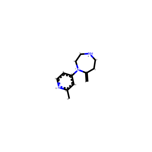 C=C1CCNCCN1c1ccnc(C)c1